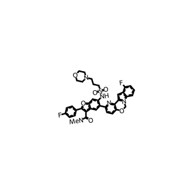 CNC(=O)c1c(-c2ccc(F)cc2)oc2cc(NS(=O)(=O)CCCN3CCOCC3)c(-c3ccc4c(n3)-c3cc5c(F)cccc5n3CO4)cc12